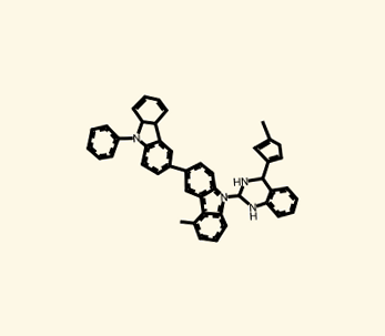 CC1=CC(C2NC(n3c4ccc(-c5ccc6c(c5)C5C=CC=CC5N6c5ccccc5)cc4c4c(C)cccc43)Nc3ccccc32)=CC1